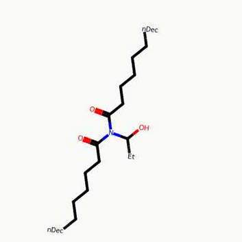 CCCCCCCCCCCCCCCC(=O)N(C(=O)CCCCCCCCCCCCCCC)C(O)CC